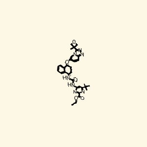 CCOC(=O)c1nc(NC(=O)N[C@H]2CC[C@@H](Oc3ccc4nnc(C5(C)COC5)n4c3)c3ccccc32)cc(C(C)(C)C)n1